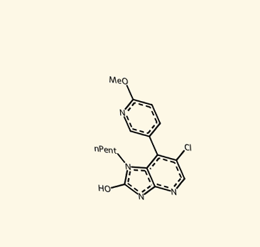 CCCCCn1c(O)nc2ncc(Cl)c(-c3ccc(OC)nc3)c21